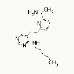 C=C(N)c1cccc(CCc2cncnc2NCCCCC)n1